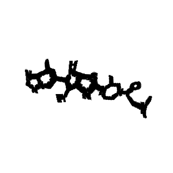 Cc1cc(-c2[nH]c3sc(N4CCN(C(=O)CN(C)C)CC4C)nc3c2C(C)C)cn2ncnc12